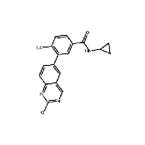 Cc1ccc(C(=O)NC2CC2)cc1-c1ccc2nc(Cl)ncc2c1